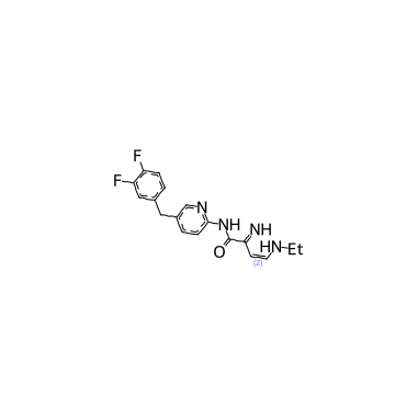 CCN/C=C\C(=N)C(=O)Nc1ccc(Cc2ccc(F)c(F)c2)cn1